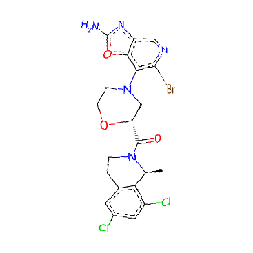 C[C@H]1c2c(Cl)cc(Cl)cc2CCN1C(=O)[C@H]1CN(c2c(Br)ncc3nc(N)oc23)CCO1